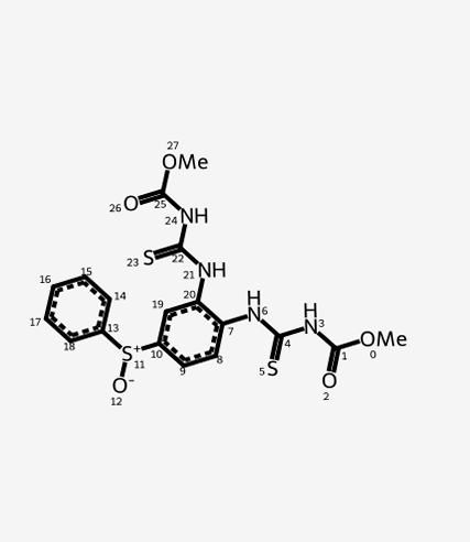 COC(=O)NC(=S)Nc1ccc([S+]([O-])c2ccccc2)cc1NC(=S)NC(=O)OC